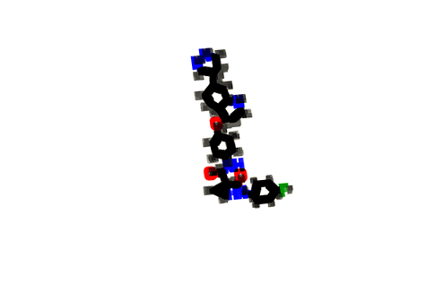 O=C(Nc1ccc(F)cc1)C1(C(=O)Nc2ccc(Oc3ccnc4cc(-c5ccnnc5)ccc34)cc2)CC1